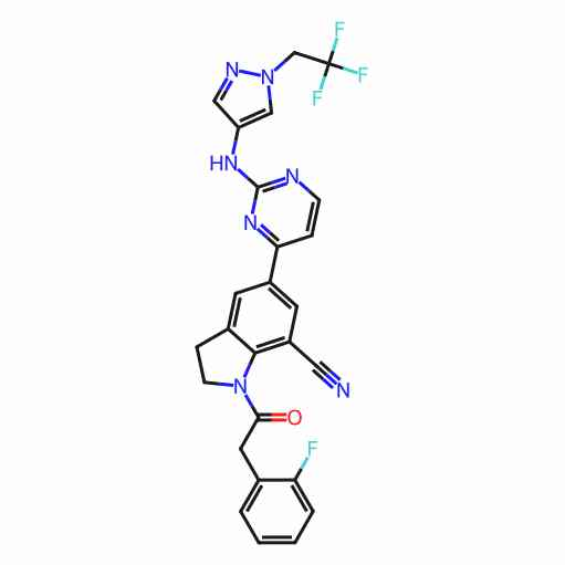 N#Cc1cc(-c2ccnc(Nc3cnn(CC(F)(F)F)c3)n2)cc2c1N(C(=O)Cc1ccccc1F)CC2